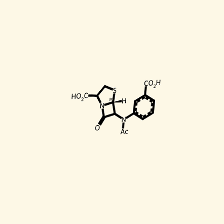 CC(=O)N(c1cccc(C(=O)O)c1)C1C(=O)N2C(C(=O)O)CS[C@H]12